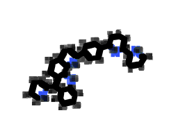 c1ccc(-c2cccc(-c3ccc(-c4ccc5ccc6c(-c7ccccn7)c7ccccc7nc6c5n4)cc3)n2)nc1